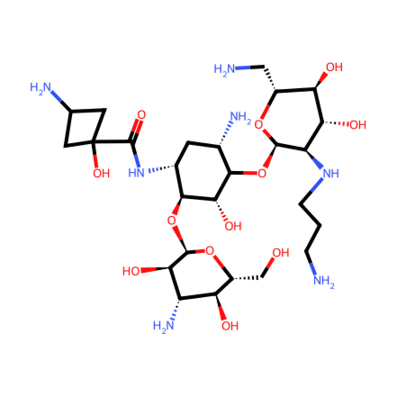 NCCCN[C@H]1[C@@H](OC2[C@@H](N)C[C@@H](NC(=O)C3(O)CC(N)C3)[C@H](O[C@H]3O[C@H](CO)[C@@H](O)[C@H](N)[C@H]3O)[C@H]2O)O[C@H](CN)[C@@H](O)[C@@H]1O